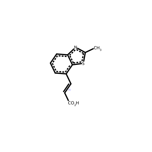 Cc1nc2cccc(/C=C/C(=O)O)c2s1